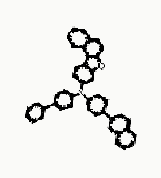 c1ccc(-c2ccc(N(c3ccc(-c4ccc5ccccc5c4)cc3)c3ccc4c(c3)oc3ccc5ccccc5c34)cc2)cc1